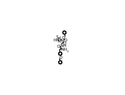 N[C@@H](Cc1ccc(OCc2ccccc2)cc1)C(=O)NCC(=O)N(C(=O)OCc1ccccc1)c1n[nH]c(=S)s1